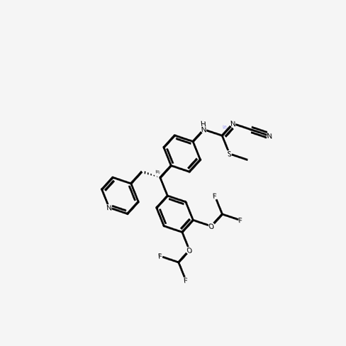 CS/C(=N\C#N)Nc1ccc([C@@H](Cc2ccncc2)c2ccc(OC(F)F)c(OC(F)F)c2)cc1